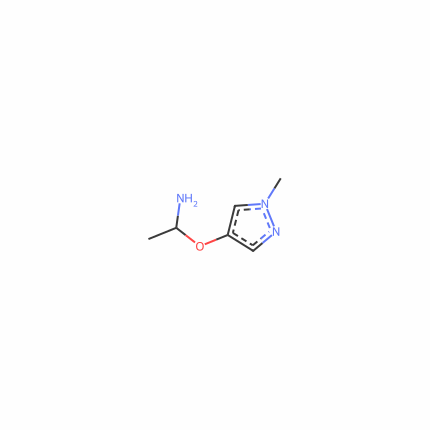 CC(N)Oc1cnn(C)c1